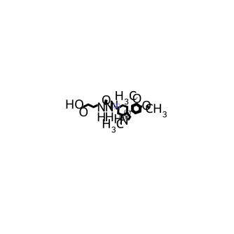 COc1ccc([C@@]23CC/C(=N/NC(=O)NCCCC(=O)O)C[C@@H]2N(C)CC3)cc1OC